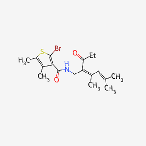 CCC(=O)/C(CNC(=O)c1c(Br)sc(C)c1C)=C(/C)C=C(C)C